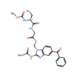 COC(=O)Nc1nc2cc(C(=O)c3ccccc3)ccc2n1COC(=O)CNC(=O)[C@H](CC(C)C)NC(=O)OC(C)(C)C